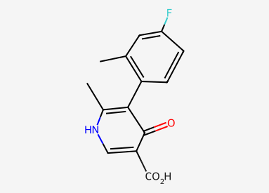 Cc1cc(F)ccc1-c1c(C)[nH]cc(C(=O)O)c1=O